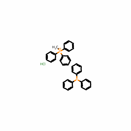 C[PH](c1ccccc1)(c1ccccc1)c1ccccc1.Cl.c1ccc(P(c2ccccc2)c2ccccc2)cc1